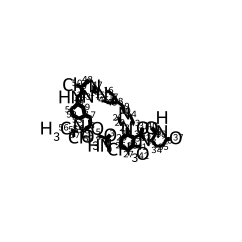 CNC(=O)COc1cc2cc(Nc3nc(N4CC5C(CN6CCN(c7cccc8c7C(=O)N(C7CCC(=O)NC7=O)C8=O)CC6)C5C4)ncc3Cl)ccc2n(C(C)C)c1=O